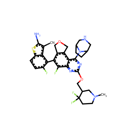 CN1CCC(F)(F)C(COc2nc(N3C4CCC3CNC4)c3c4c(c(-c5c(F)ccc6sc(N)c(C#N)c56)c(F)c3n2)COC4)C1